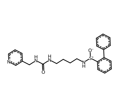 O=C(NCCCCN[S+]([O-])c1ccccc1-c1ccccc1)NCc1cccnc1